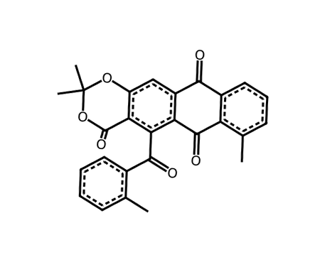 Cc1ccccc1C(=O)c1c2c(cc3c1C(=O)c1c(C)cccc1C3=O)OC(C)(C)OC2=O